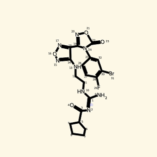 N/C(=N/C(=O)C1CCCC1)NCCNc1nonc1-c1noc(=O)n1-c1ccc(F)c(Br)c1